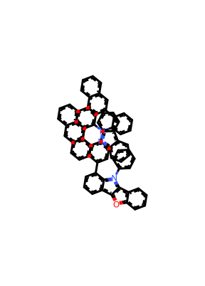 c1ccc(-n2c3c(-c4ccc(N(c5ccccc5-c5ccc6ccccc6c5)c5ccccc5-c5ccccc5-n5c6ccccc6c6ccccc65)c(-c5ccc6ccccc6c5)c4)cccc3c3oc4ccccc4c32)cc1